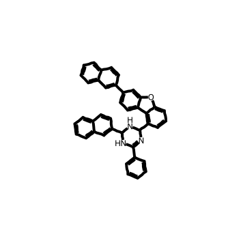 c1ccc(C2=NC(c3cccc4oc5cc(-c6ccc7ccccc7c6)ccc5c34)NC(c3ccc4ccccc4c3)N2)cc1